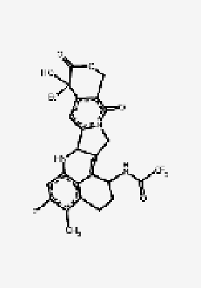 CC[C@@]1(O)C(=O)OCc2c1cc1n(c2=O)CC2=C3c4c(cc(F)c(C)c4CCC3NC(=O)C(F)(F)F)NC21